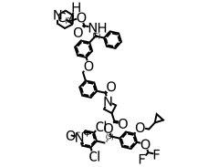 O=C(N[C@@H](c1ccccc1)c1cccc(OCc2cccc(C(=O)N3CC(C(=O)O[C@@H](Cc4c(Cl)c[n+]([O-])cc4Cl)c4ccc(OC(F)F)c(OCC5CC5)c4)C3)c2)c1)O[C@H]1CN2CCC1CC2